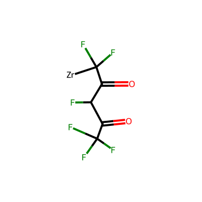 O=C(C(F)C(=O)[C](F)(F)[Zr])C(F)(F)F